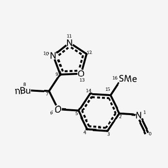 C=Nc1ccc(OC(CCCC)c2nnco2)cc1SC